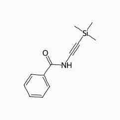 C[Si](C)(C)C#CNC(=O)c1ccccc1